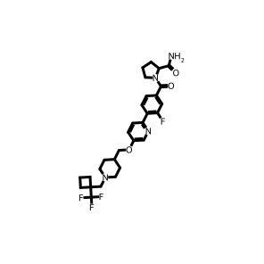 NC(=O)C1CCCN1C(=O)c1ccc(-c2ccc(OCC3CCN(CC4(C(F)(F)F)CCC4)CC3)cn2)c(F)c1